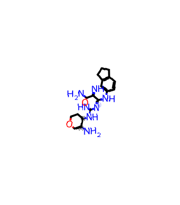 N=C(/N=C(/Nc1ccc2c(c1)CCC2)C(=N)C(N)=O)N[C@@H]1CCOC[C@@H]1N